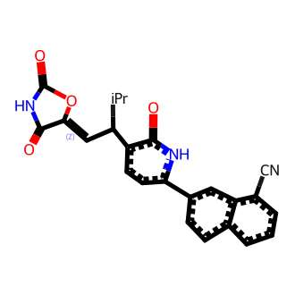 CC(C)C(/C=C1\OC(=O)NC1=O)c1ccc(-c2ccc3cccc(C#N)c3c2)[nH]c1=O